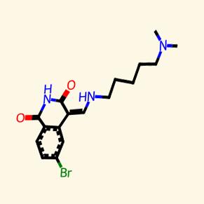 CN(C)CCCCCN/C=C1\C(=O)NC(=O)c2ccc(Br)cc21